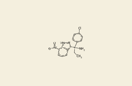 CCC(N)(c1ccc(Cl)cc1)c1n[nH]c2c([N+](=O)[O-])cccc12